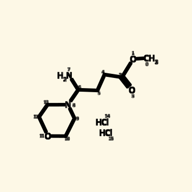 COC(=O)CCC(N)N1CCOCC1.Cl.Cl